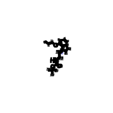 CCCOc1cccc2c1/C(=C/CNC(=O)OC(C)(C)C)CC2